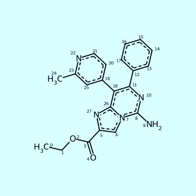 CCOC(=O)c1cn2c(N)nc(-c3ccccc3)c(-c3ccnc(C)c3)c2n1